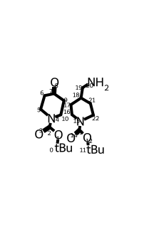 CC(C)(C)OC(=O)N1CCC(=O)CC1.CC(C)(C)OC(=O)N1CCC(CN)CC1